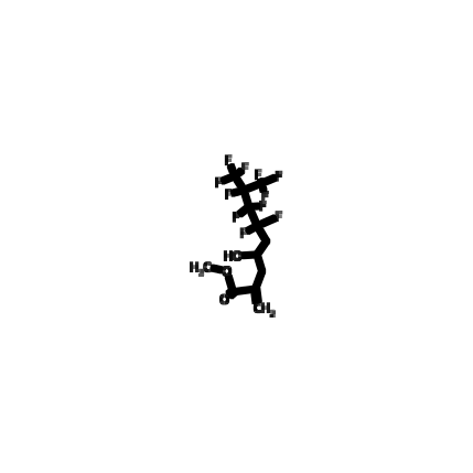 C=C(CC(O)CC(F)(F)C(F)(F)C(F)(C(F)(F)F)C(F)(F)F)C(=O)OC